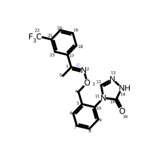 C/C(=N\OCc1ccccc1-n1cn[nH]c1=O)c1cccc(C(F)(F)F)c1